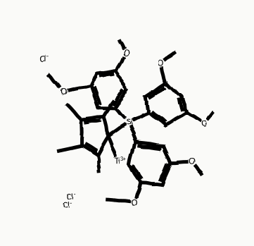 COc1cc(OC)cc([Si](c2cc(OC)cc(OC)c2)(c2cc(OC)cc(OC)c2)[C]2([Ti+3])C(C)=C(C)C(C)=C2C)c1.[Cl-].[Cl-].[Cl-]